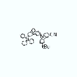 CC(C)(C)c1ccc2c(c1)c1cc(C#N)ccc1n2-c1ccc2oc3ccc([Si](c4ccccc4)(c4ccccc4)c4ccccc4)cc3c2c1